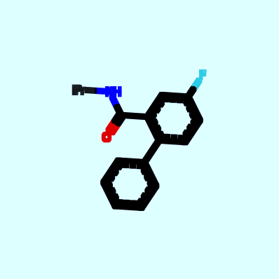 CC(C)NC(=O)c1cc(F)ccc1-c1ccccc1